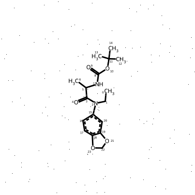 CCN(C(=O)C(C)NC(=O)OC(C)(C)C)c1ccc2c(c1)OCO2